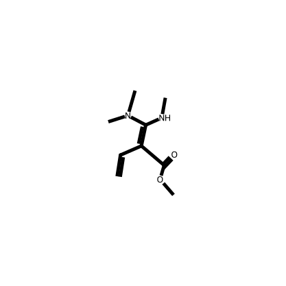 C=C/C(C(=O)OC)=C(/NC)N(C)C